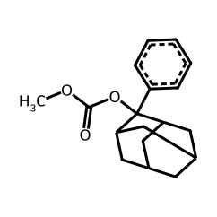 COC(=O)OC1(c2ccccc2)C2CC3CC(C2)CC1C3